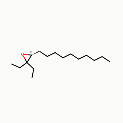 CCCCCCCCCC[C@H]1OC1(CC)CC